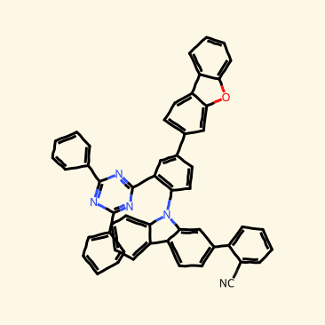 N#Cc1ccccc1-c1ccc2c3ccccc3n(-c3ccc(-c4ccc5c(c4)oc4ccccc45)cc3-c3nc(-c4ccccc4)nc(-c4ccccc4)n3)c2c1